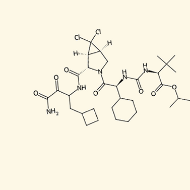 CC(C)OC(=O)[C@@H](NC(=O)N[C@H](C(=O)N1C[C@H]2[C@@H]([C@H]1C(=O)NC(CC1CCC1)C(=O)C(N)=O)C2(Cl)Cl)C1CCCCC1)C(C)(C)C